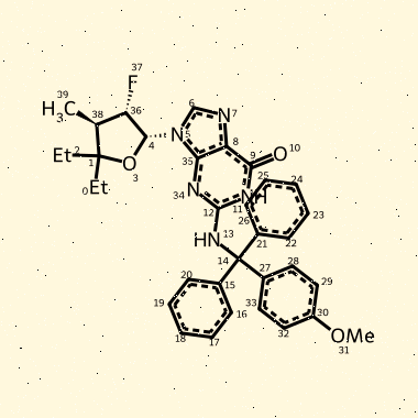 CCC1(CC)O[C@@H](n2cnc3c(=O)[nH]c(NC(c4ccccc4)(c4ccccc4)c4ccc(OC)cc4)nc32)[C@@H](F)[C@@H]1C